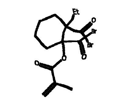 C=C(C)C(=O)OC1(C(=O)Br)CCCCC1(CC)C(=O)Br